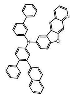 c1ccc(-c2cccc(N(c3ccc(-c4ccccc4)c(-c4ccc5ccccc5c4)c3)c3ccc4oc5cc6ncccc6cc5c4c3)c2)cc1